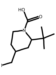 CC(C)(C)C1CC(CI)CCN1C(=O)O